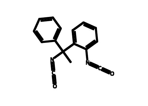 CC(N=C=O)(c1ccccc1)c1ccccc1N=C=O